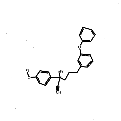 C#CC(CCC)(CCCc1cccc(Oc2ccccc2)c1)c1ccc(OCC)cc1